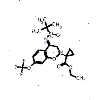 CCOC(=O)C1([C@@H]2C/C(=N\[S@+]([O-])C(C)(C)C)c3ccc(OC(F)(F)F)cc3O2)CC1